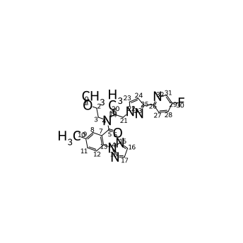 COCCN(C(=O)c1cc(C)ccc1-n1nccn1)[C@@H](C)Cn1ccc(-c2ccc(F)cn2)n1